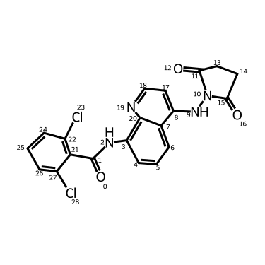 O=C(Nc1cccc2c(NN3C(=O)CCC3=O)ccnc12)c1c(Cl)cccc1Cl